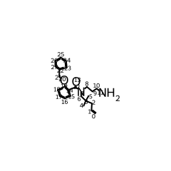 C=CCC(C)(C)CN(CCCN)C(=O)c1ccccc1OCc1ccccc1